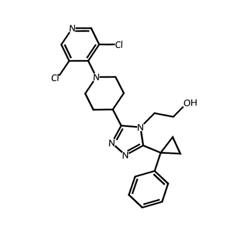 OCCn1c(C2CCN(c3c(Cl)cncc3Cl)CC2)nnc1C1(c2ccccc2)CC1